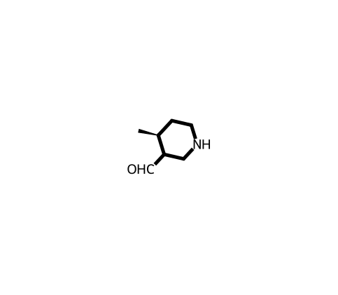 C[C@H]1CCNCC1C=O